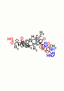 CC(C)C1=C2[C@H]3CC[C@@H]4[C@@]5(C)CC[C@H](OC(=O)[C@H]6C[C@@H](C(=O)O)C6(C)C)C(C)(C)[C@@H]5CC[C@@]4(C)[C@]3(C)CC[C@@]2([C@@H](O)CNC(=O)C(C)(C)NC(=O)c2ncc[nH]2)CC1=O